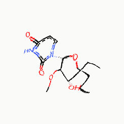 CCC[C@]1(CC)O[C@@H](n2ccc(=O)[nH]c2=O)C(OC)[C@H]1O